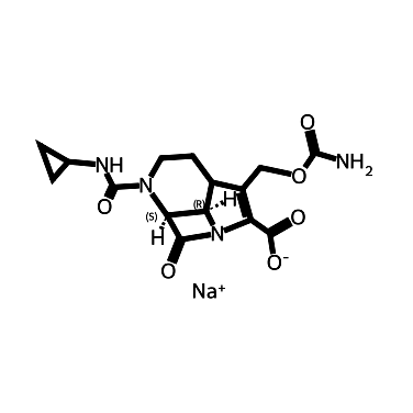 NC(=O)OCC1=C(C(=O)[O-])N2C(=O)[C@@H]3[C@H]2C1CCN3C(=O)NC1CC1.[Na+]